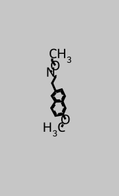 CCON=CCc1ccc2cc(OC)ccc2c1